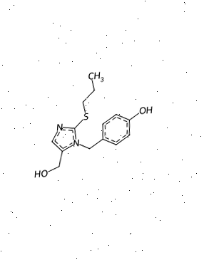 CCCSc1ncc(CO)n1Cc1ccc(O)cc1